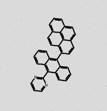 c1cnc(-c2c3ccccc3c(-c3ccc4ccc5cccc6ccc3c4c56)c3ccccc23)nc1